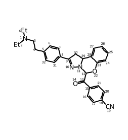 CCN(CC)CCc1ccc(C2=NN3C(C(=O)c4ccc(C#N)cc4)Oc4ccccc4C3C2)cc1